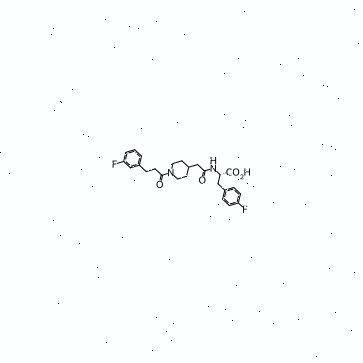 O=C(CC1CCN(C(=O)CCc2cccc(F)c2)CC1)N[C@@H](Cc1ccc(F)cc1)C(=O)O